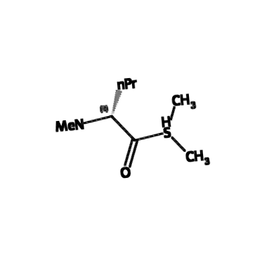 CCC[C@@H](NC)C(=O)[SH](C)C